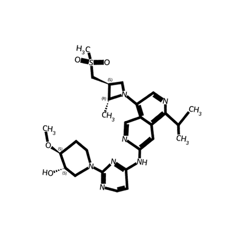 CO[C@H]1CCN(c2nccc(Nc3cc4c(C(C)C)ncc(N5C[C@H](CS(C)(=O)=O)[C@H]5C)c4cn3)n2)C[C@@H]1O